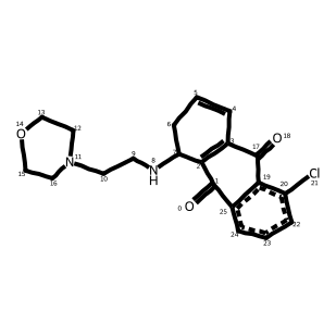 O=C1C2=C(C=CCC2NCCN2CCOCC2)C(=O)c2c(Cl)cccc21